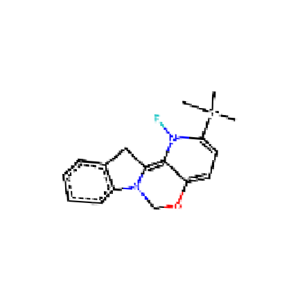 [CH3][Sn]([CH3])([CH3])[C]1=CC=C2OCN3C(=C2N1F)Cc1ccccc13